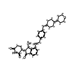 O=C1CCC(N2C(=O)c3cccc(NCc4ccc(CN5CCC(N6CCOCC6)CC5)cc4)c3C2O)C(=O)N1